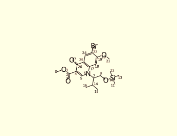 COC(=O)c1cn(C(CO[Si](C)(C)C)C(C)C)c2cc(OC)c(Br)cc2c1=O